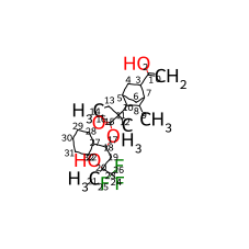 C=C(O)C1CC2CC1C(C)C2C(C)(CC)C(=O)OC(CC(C)(O)C(F)(F)F)C1CCCCC1